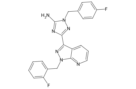 Nc1nc(-c2nn(Cc3ccccc3F)c3ncccc23)nn1Cc1ccc(F)cc1